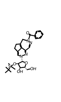 CC(C)(C)[Si](C)(C)O[C@@H]1[C@H](O)[C@@H](CO)O[C@H]1N1C=C2CCC3=C2C(=N1)C=NN(C(=O)c1ccccc1)C3